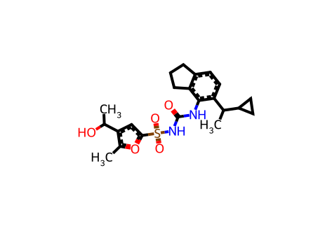 Cc1oc(S(=O)(=O)NC(=O)Nc2c(C(C)C3CC3)ccc3c2CCC3)cc1C(C)O